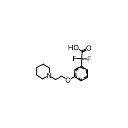 O=C(O)C(F)(F)c1cccc(OCCN2CCCCC2)c1